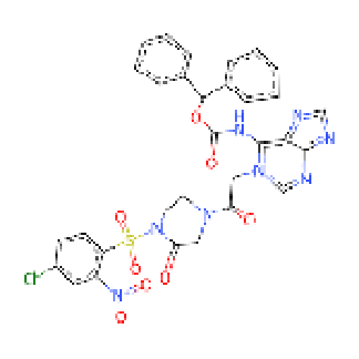 O=C(Nc1c2ncnc-2ncn1CC(=O)N1CCN(S(=O)(=O)c2ccc(Cl)cc2[N+](=O)[O-])C(=O)C1)OC(c1ccccc1)c1ccccc1